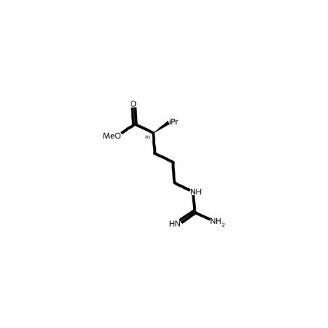 COC(=O)[C@H](CCCNC(=N)N)C(C)C